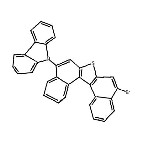 Brc1cc2sc3cc(-n4c5ccccc5c5ccccc54)c4ccccc4c3c2c2ccccc12